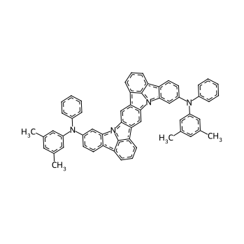 Cc1cc(C)cc(N(c2ccccc2)c2ccc3c4cccc5c6cc7c(cc6n(c3c2)c45)c2cccc3c4ccc(N(c5ccccc5)c5cc(C)cc(C)c5)cc4n7c32)c1